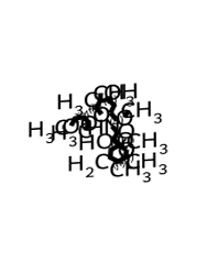 C=C1C[C@](OC)([C@H](O)C(=O)N[C@@H](OC)C2C[C@@H](O)C(C)(C)[C@@H](C[C@@H](COC)OC)O2)O[C@H](C)[C@@H]1C